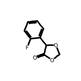 O=C1OCOC1c1ccccc1F